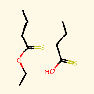 CCCC(=S)OCC.CCCC(O)=S